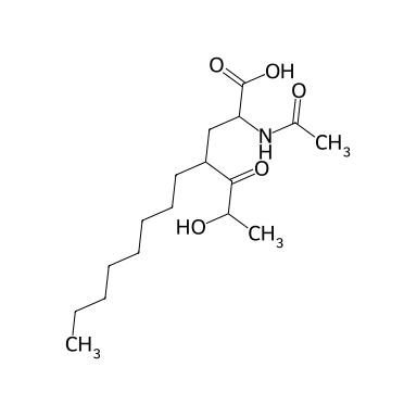 CCCCCCCCC(CC(NC(C)=O)C(=O)O)C(=O)C(C)O